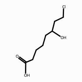 O=C(O)CCCCC(O)CCCl